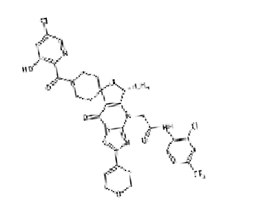 C[C@H]1OC2(CCN(C(=O)c3ncc(Cl)cc3O)CC2)c2c1n(CC(=O)Nc1ccc(C(F)(F)F)cc1Cl)c1nc(C3=CCOCC3)nn1c2=O